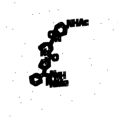 CN/N=C(\N=N)C(c1ccccc1)C1CCN(C(=O)c2cc(-c3nc4cc(NC(C)=O)ccc4o3)ccn2)C1